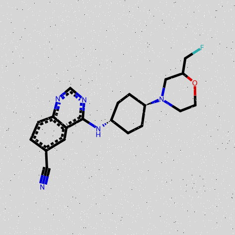 N#Cc1ccc2ncnc(N[C@H]3CC[C@H](N4CCOC(CF)C4)CC3)c2c1